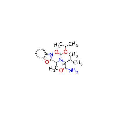 CC(C)OC(=O)N(C(C)c1nc2ccccc2o1)[C@H](C(N)=O)C(C)C